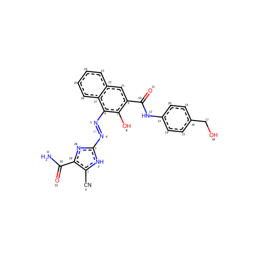 N#Cc1[nH]c(/N=N/c2c(O)c(C(=O)Nc3ccc(CO)cc3)cc3ccccc23)nc1C(N)=O